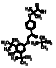 CC(C)(C)N.CC(C)(Oc1ccc(C(=O)COc2cc(C(C)(C)C)c(O)c(C(C)(C)C)c2)cc1)C(=O)O